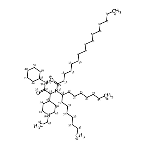 CCCCCCCCCCCCCCCC(=O)N(C(CCCCCCC)CCCCCCC)C(C(=O)NC1CCCCC1)C1CCN(CC)CC1